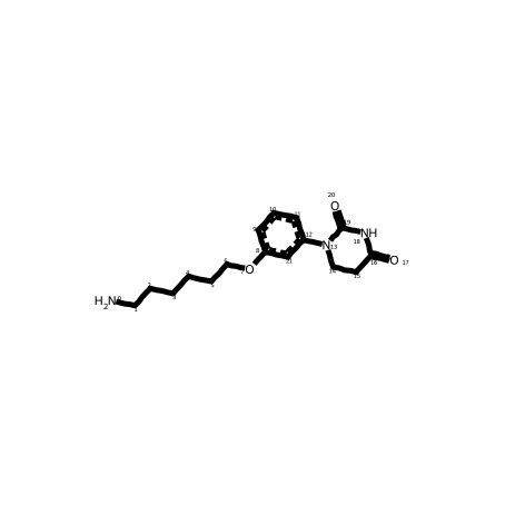 NCCCCCCOc1cccc(N2CCC(=O)NC2=O)c1